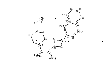 N=C(C(=N)N1CCC(CO)CC1)C1CN(c2cnc3ccccc3n2)C1